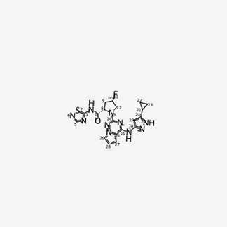 O=C(Nc1ncns1)[C@@H]1C[C@@H](F)CN1c1nc(Nc2cc(C3CC3)[nH]n2)c2cccn2n1